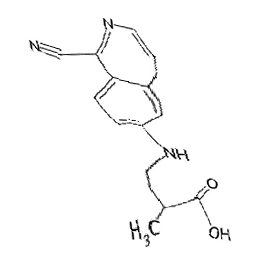 CC(CNc1ccc2c(C#N)nccc2c1)C(=O)O